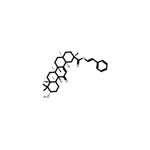 CC(=O)O[C@H]1CC[C@]2(C)[C@H]3C(=O)C=C4[C@@H]5C[C@@](C)(C(=O)O/C=C/c6ccccc6)CC[C@]5(C)CC[C@@]4(C)[C@]3(C)CC[C@H]2C1(C)C